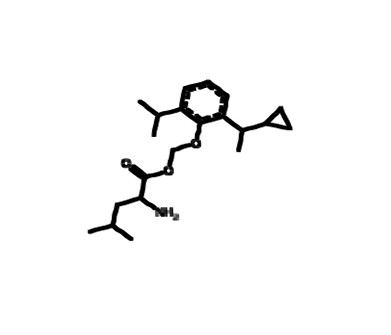 CC(C)CC(N)C(=O)OCOc1c(C(C)C)cccc1C(C)C1CC1